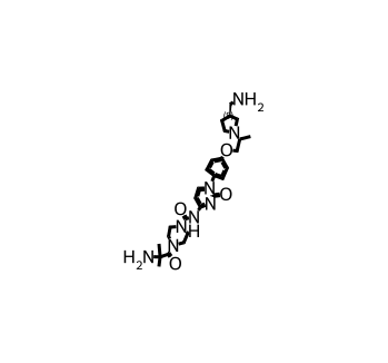 CC(COc1ccc(-n2ccc(NC(=O)N3CCN(C(=O)C(C)(C)N)CC3)nc2=O)cc1)N1CC[C@@H](CN)C1